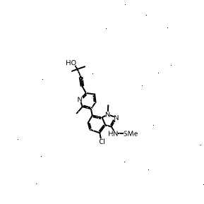 CSNc1nn(C)c2c(-c3ccc(C#CC(C)(C)O)nc3C)ccc(Cl)c12